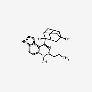 CCCN1N=C([C@H]2C3CC4CC2C[C@](O)(C4)C3)c2c(cnc3[nH]ccc23)B1O